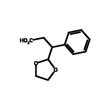 O=C(O)CC(c1ccccc1)C1OCCO1